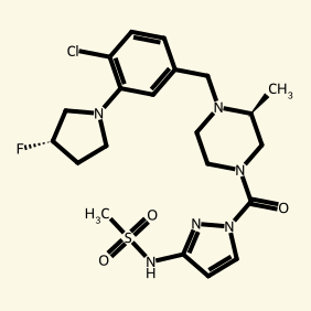 C[C@H]1CN(C(=O)n2ccc(NS(C)(=O)=O)n2)CCN1Cc1ccc(Cl)c(N2CC[C@H](F)C2)c1